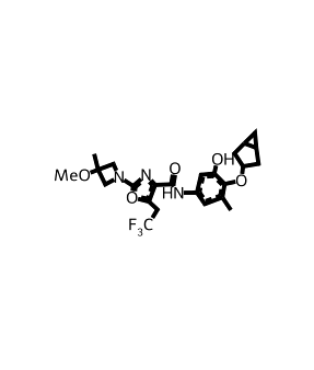 COC1(C)CN(c2nc(C(=O)Nc3cc(C)c(OC4CC5CC5C4)c(O)c3)c(CC(F)(F)F)o2)C1